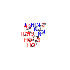 Nc1nc2c(ncn2[C@@H]2O[C@H](CO)[C@@H](O)[C@H]2O)c(=O)[nH]1.OCCO